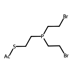 CC(=O)SCCP(CCBr)CCBr